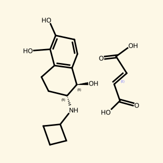 O=C(O)/C=C/C(=O)O.Oc1ccc2c(c1O)CC[C@@H](NC1CCC1)[C@@H]2O